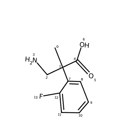 CC(CN)(C(=O)O)c1ccccc1F